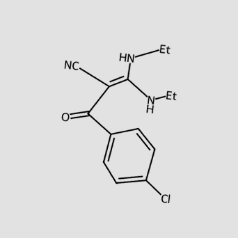 CCNC(NCC)=C(C#N)C(=O)c1ccc(Cl)cc1